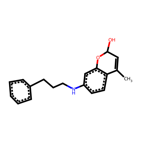 CC1=CC(O)Oc2cc(NCCCc3ccccc3)ccc21